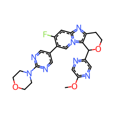 COc1cnc(C2OCCc3nc4cc(F)c(-c5cnc(N6CCOCC6)nc5)cn4c32)cn1